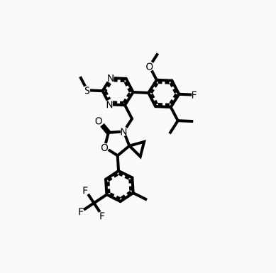 COc1cc(F)c(C(C)C)cc1-c1cnc(SC)nc1CN1C(=O)OC(c2cc(C)cc(C(F)(F)F)c2)C12CC2